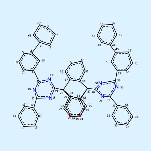 c1ccc(-c2cccc(-c3nc(-c4ccccc4)nc(C45c6ccccc6C(c6nc(-c7ccccc7)nc(-c7cccc(-c8ccccc8)c7)n6)(c6ccccc64)c4ccccc45)n3)c2)cc1